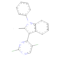 Cc1c(-c2nc(Cl)ncc2Cl)c2ccccc2n1-c1ccccc1